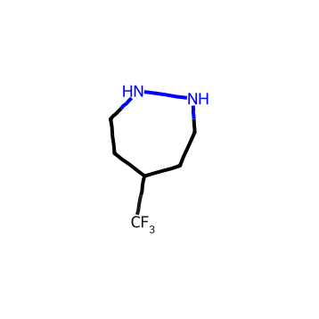 FC(F)(F)C1CCNNCC1